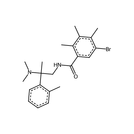 Cc1ccccc1C(C)(CNC(=O)c1cc(Br)c(C)c(C)c1C)N(C)C